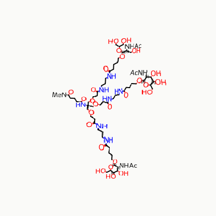 CNC(=O)CCCC(=O)NC(COCCC(=O)NCCCNC(=O)CCCCO[C@H](OC(CO)CO)[C@H](CO)NC(C)=O)(COCCC(=O)NCCCNC(=O)CCCCO[C@@H]1OC(CO)[C@H](O)C(O)[C@@H]1NC(C)=O)COCCC(=O)NCCCNC(=O)CCCCO[C@@H]1OC(CO)[C@H](O)C(O)[C@@H]1NC(C)=O